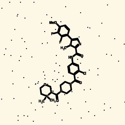 COc1ccc(-c2cnc(C(=O)Nc3ccc(C(=O)N4CCN(C(=O)[C@@H]5COCC[N+]5(C)C)CC4)c(Cl)c3)n2C)c(F)c1F